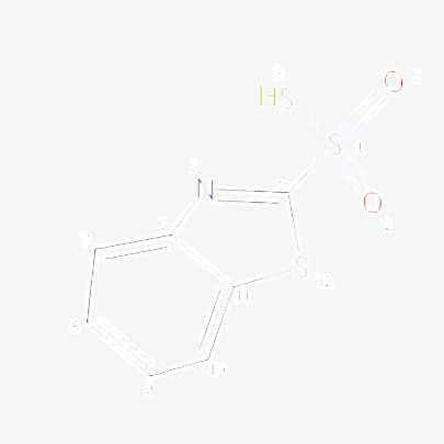 O=S(=O)(S)c1nc2ccccc2s1